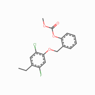 CCc1cc(Cl)c(OCc2ccccc2OC(=O)OC)cc1F